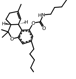 CCCCCNC(=O)Oc1cc(CCCCC)cc2c1[C@@H]1C=C(C)CC[C@H]1C(C)(C)O2